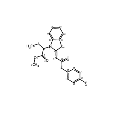 CCC(C(=O)OC)n1c(=NC(=O)Cc2ccc(F)cc2)sc2ccccc21